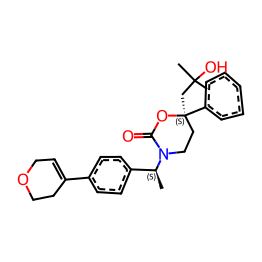 C[C@@H](c1ccc(C2=CCOCC2)cc1)N1CC[C@](CC(C)(C)O)(c2ccccc2)OC1=O